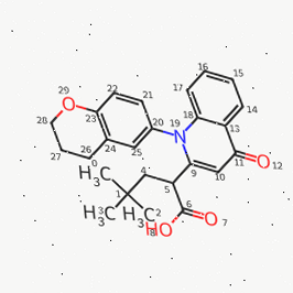 CC(C)(C)CC(C(=O)O)c1cc(=O)c2ccccc2n1-c1ccc2c(c1)CCCO2